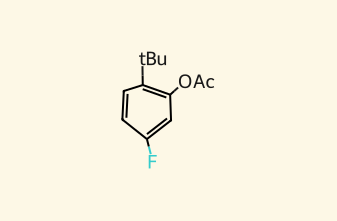 CC(=O)Oc1cc(F)ccc1C(C)(C)C